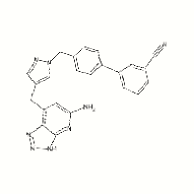 N#Cc1cccc(-c2ccc(Cn3cc(Cc4cc(N)nc5[nH]nnc45)cn3)cc2)c1